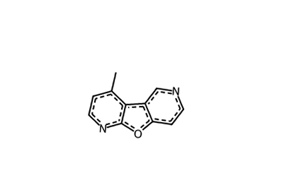 Cc1ccnc2oc3ccncc3c12